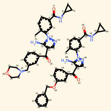 Cc1ccc(C(=O)NC2CC2)cc1-n1ncc(C(=O)c2cccc(CN3CCOCC3)c2)c1N.Cc1ccc(C(=O)NC2CC2)cc1-n1ncc(C(=O)c2cccc(OCc3ccccc3)c2)c1N